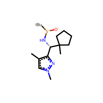 Cc1cn(C)nc1[C@H](N[S+]([O-])C(C)(C)C)C1(C)CCCC1